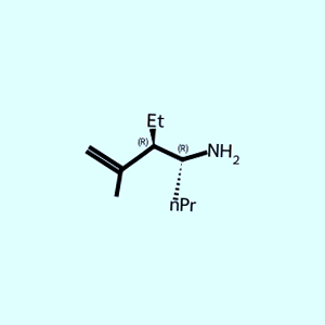 C=C(C)[C@@H](CC)[C@H](N)CCC